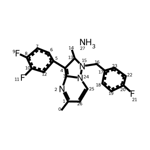 CC1=NC2=C(c3ccc(F)c(F)c3)C(C)N(Cc3ccc(F)cc3)N2C=C1.N